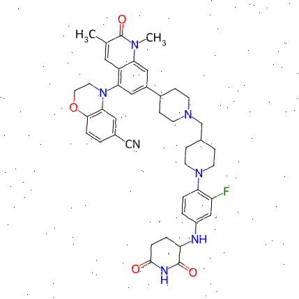 Cc1cc2c(N3CCOc4ccc(C#N)cc43)cc(C3CCN(CC4CCN(c5ccc(NC6CCC(=O)NC6=O)cc5F)CC4)CC3)cc2n(C)c1=O